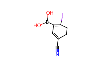 N#CC1=CC(B(O)O)=C(I)CC1